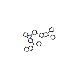 c1ccc(-c2cc3ccc(-c4cccc(-n5c6ccccc6c6cc7c(cc65)C(c5ccccc5)c5ccc6ccccc6c5-7)c4)cc3cc2-c2ccccc2)cc1